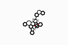 c1ccc2c(c1)CCc1ccc(-c3nc(C4CCc5ccccc5-c5cc6c7ccccc7n7c8cc9ccccc9cc8c(c54)c67)c4ccccc4n3)cc1-2